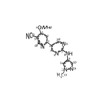 COc1cc(-c2cnc(Nc3cnn(C)c3)nc2)ncc1C#N